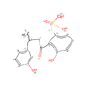 CC(CC(=O)c1c(O)cccc1SP(=O)(O)O)c1cccc(O)c1